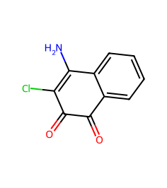 NC1=C(Cl)C(=O)C(=O)c2ccccc21